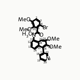 COc1ccc(Br)c(C(=O)N(C)c2cccc3c(-c4cccnc4)c(OC)c(OC)cc23)c1OC